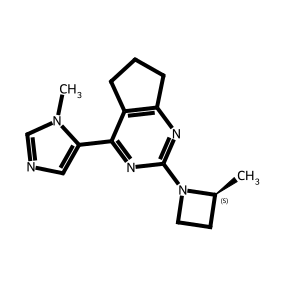 C[C@H]1CCN1c1nc2c(c(-c3cncn3C)n1)CCC2